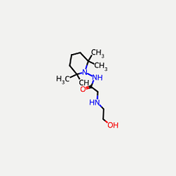 CC1(C)CCCC(C)(C)N1NC(=O)CNCCO